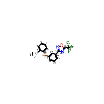 Cc1ccccc1Sc1[c]ccc(-c2noc(C(F)(F)F)n2)c1